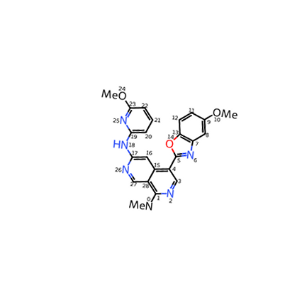 CNc1ncc(-c2nc3cc(OC)ccc3o2)c2cc(Nc3cccc(OC)n3)ncc12